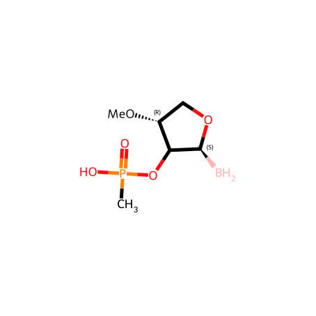 B[C@@H]1OC[C@@H](OC)C1OP(C)(=O)O